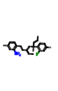 CCCC(C)(CC(CC)CCc1ccc(C)cc1N)c1ccc(C)cc1F